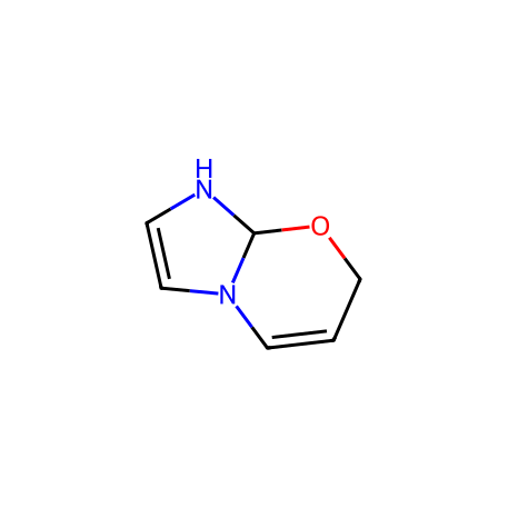 C1=CN2C=CNC2OC1